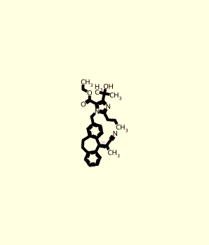 CCCc1nc(C(C)(C)O)c(C(=O)OCC)n1Cc1ccc2c(c1)CCc1ccccc1/C2=C(\C)C#N